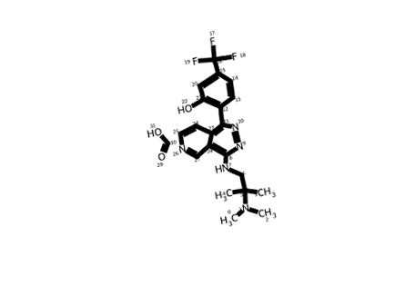 CN(C)C(C)(C)CNc1nnc(-c2ccc(C(F)(F)F)cc2O)c2ccncc12.O=CO